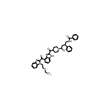 CCC(CC(CNC(=O)c1ccccc1)c1ccccc1)N1CCC(C(=O)c2nc3c(C(=O)c4nc5ccccc5n4CCOCC(F)(F)F)cccc3[nH]2)CC1